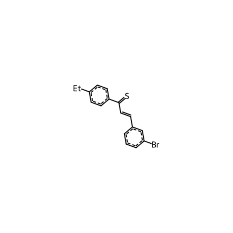 CCc1ccc(C(=S)C=Cc2cccc(Br)c2)cc1